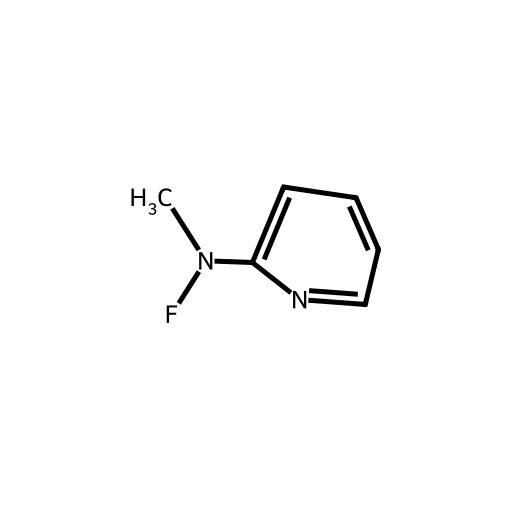 CN(F)c1ccccn1